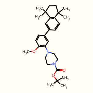 COc1ccc(-c2ccc3c(c2)C(C)(C)CCC3(C)C)cc1N1CCN(C(=O)OC(C)(C)C)CC1